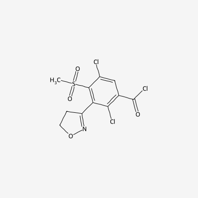 CS(=O)(=O)c1c(Cl)cc(C(=O)Cl)c(Cl)c1C1=NOCC1